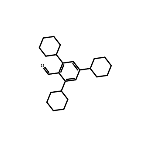 O=Cc1c(C2CCCCC2)cc(C2CCCCC2)cc1C1CCCCC1